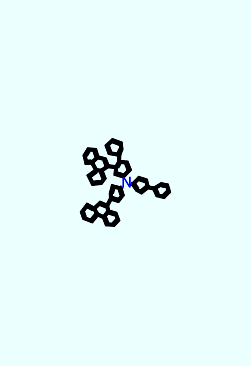 c1ccc(-c2ccc(N(c3ccc(-c4cc5ccccc5c5ccccc45)cc3)c3ccc(-c4ccccc4)c(-c4cc5ccccc5c5ccccc45)c3)cc2)cc1